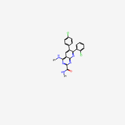 CC(C)NC(=O)c1nc(NC(C)C)c2cc(-c3ccc(Cl)cc3)c(-c3ccccc3Cl)nc2n1